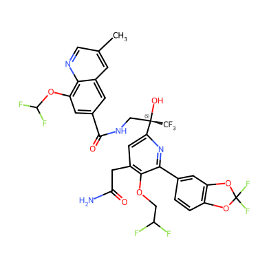 Cc1cnc2c(OC(F)F)cc(C(=O)NC[C@](O)(c3cc(CC(N)=O)c(OCC(F)F)c(-c4ccc5c(c4)OC(F)(F)O5)n3)C(F)(F)F)cc2c1